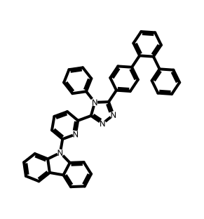 c1ccc(-c2ccccc2-c2ccc(-c3nnc(-c4cccc(-n5c6ccccc6c6ccccc65)n4)n3-c3ccccc3)cc2)cc1